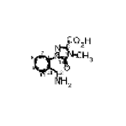 Cn1c(C(=O)O)nn(-c2ccccc2CN)c1=O